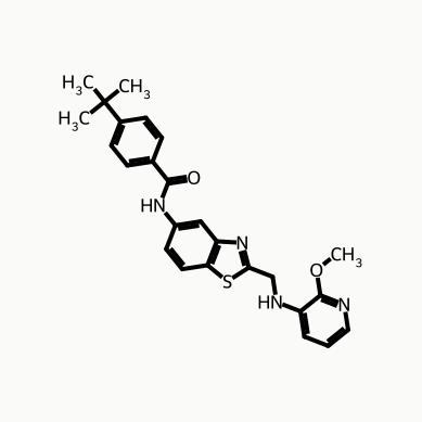 COc1ncccc1NCc1nc2cc(NC(=O)c3ccc(C(C)(C)C)cc3)ccc2s1